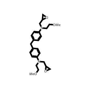 COCCN(CC1CO1)c1ccc(Cc2ccc(N(CCOC)CC3CO3)cc2)cc1